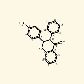 Cc1ccc(C2Sc3ncccc3C(=O)N2c2ccccc2)cc1